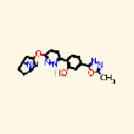 Cc1nnc(-c2ccc(-c3ccc(OC4CC5CCC(C4)N5)nn3)c(O)c2)o1